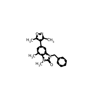 Cc1noc(C)c1-c1cc(C)c2c(c1)n(Cc1ccccc1)c(=O)n2C